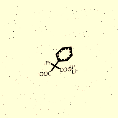 CC(C)C(C(=O)[O-])(C(=O)[O-])c1ccccc1.[Li+].[Li+]